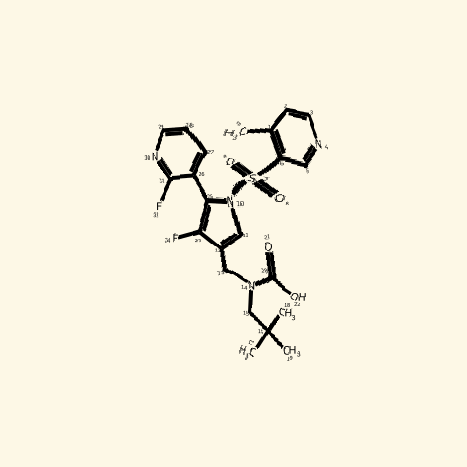 Cc1ccncc1S(=O)(=O)n1cc(CN(CC(C)(C)C)C(=O)O)c(F)c1-c1cccnc1F